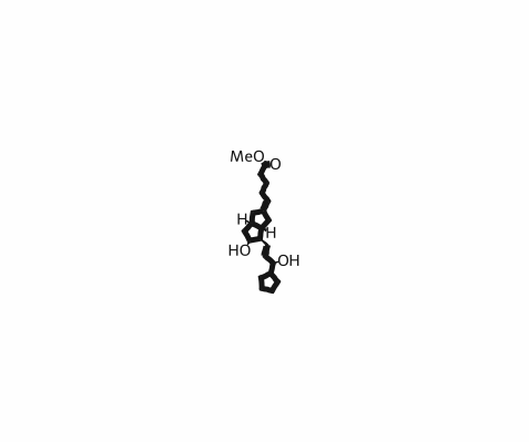 COC(=O)CCC/C=C1\C[C@@H]2C[C@@H](O)[C@H](/C=C/[C@H](O)C3CCCC3)[C@H]2C1